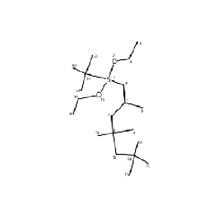 CCO[Si](CC(C)CC(C)(C)CC(C)(C)C)(OCC)C(C)(C)C